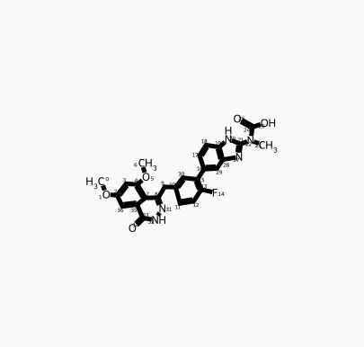 COc1cc(OC)c2c(Cc3ccc(F)c(-c4ccc5[nH]c(N(C)C(=O)O)nc5c4)c3)n[nH]c(=O)c2c1